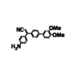 COc1ccc(-c2ccc(C(=CC#N)c3ccc(N)cc3)cc2)cc1OC